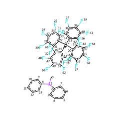 CI(c1ccccc1)c1ccccc1.Fc1c(F)c(F)c([B-](c2c(F)c(F)c(F)c(F)c2F)(c2c(F)c(F)c(F)c(F)c2F)c2c(F)c(F)c(F)c(F)c2F)c(F)c1F